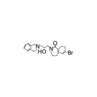 O=C1C2=C(C=C(Br)CC2)CCCN1C[C@H](O)CN1CCc2ccccc2C1